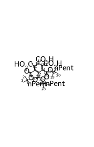 CCCCCC(C)(C)OC(=O)c1c(C(=O)O)c(C(=O)O)c(C(=O)O)c(C(=O)OC(C)(C)CCCCC)c1C(=O)OC(C)(C)CCCCC